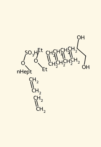 C=C.C=C.C=C.C=C.C=C.C=C.CCCCCCCOS(=O)(=O)O.CCOCC.OCCO